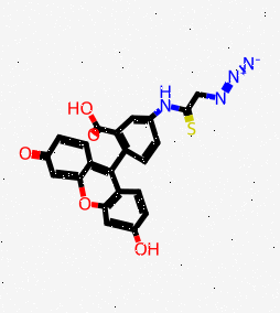 [N-]=[N+]=NCC(=S)Nc1ccc(-c2c3ccc(=O)cc-3oc3cc(O)ccc23)c(C(=O)O)c1